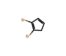 BrC1=C(Br)CC=C1